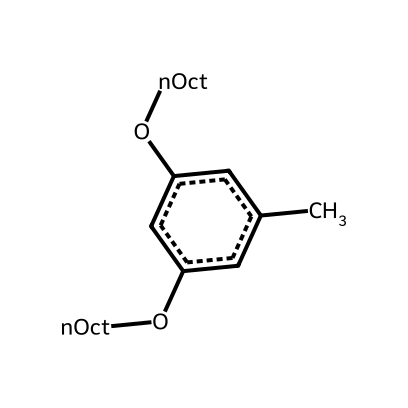 CCCCCCCCOc1cc(C)cc(OCCCCCCCC)c1